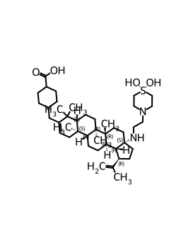 C=C(C)[C@@H]1CC[C@]2(NCCN3CCS(O)(O)CC3)CC[C@]3(C)[C@H](CC[C@@H]4[C@@]5(C)CC=C(CC6CCC(C(=O)O)CC6)C(C)(C)[C@@H]5CC[C@]43C)[C@@H]12